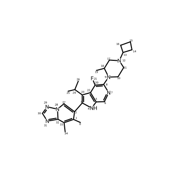 Cc1c(-c2[nH]c3cnc(N4CCN(C5CCC5)CC4C)c(F)c3c2C(C)C)cn2ncnc2c1C